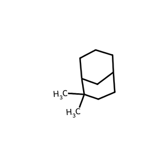 CC1(C)CCC2CCCC1C2